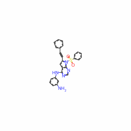 Nc1cccc(Nc2ncnc3c2cc(C#Cc2ccccc2)n3S(=O)(=O)c2ccccc2)c1